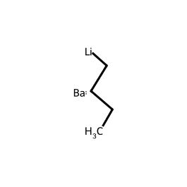 [Ba].[Li][CH2]CCC